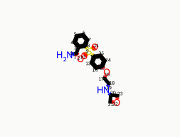 NC(=O)c1ccccc1S(=O)(=O)c1ccc(OCCNC2COC2)cc1